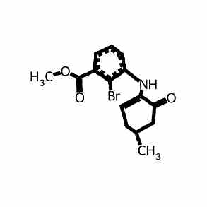 COC(=O)c1cccc(NC2=CCC(C)CC2=O)c1Br